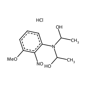 COc1cccc(N(C(C)O)C(C)O)c1N=O.Cl